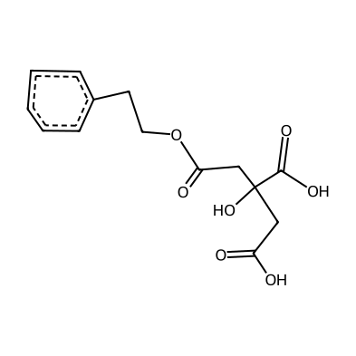 O=C(O)CC(O)(CC(=O)OCCc1ccccc1)C(=O)O